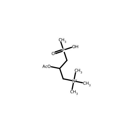 CC(=O)OC(C[N+](C)(C)C)CP(C)(=O)O